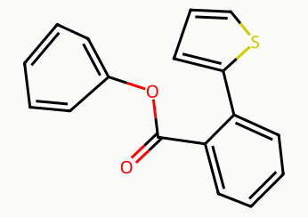 O=C(Oc1ccccc1)c1ccccc1-c1cccs1